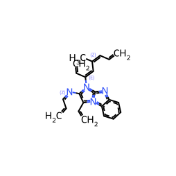 C=C/C=N\c1c(C=C)n2c3ccccc3nc2n1/C(C=C)=C/C(C)=C\C=C